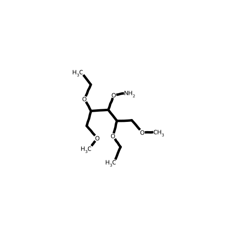 CCOC(COC)C(ON)C(COC)OCC